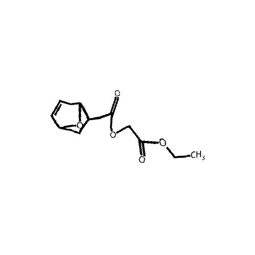 CCOC(=O)COC(=O)C1CC2C=CC1O2